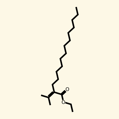 CCCCCCCCCCCCCC(C(=O)OCC)=C(C)C